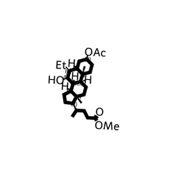 CC[C@H]1[C@@H](O)[C@@H]2[C@H](CC[C@]3(C)[C@@H](C(C)CCC(=O)OC)CC[C@@H]23)[C@@]2(C)CC[C@@H](OC(C)=O)C[C@@H]12